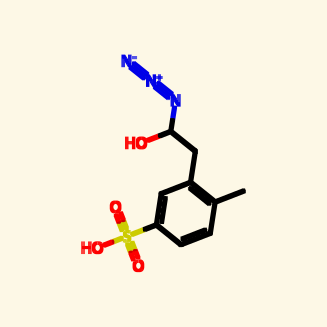 Cc1ccc(S(=O)(=O)O)cc1CC(O)N=[N+]=[N-]